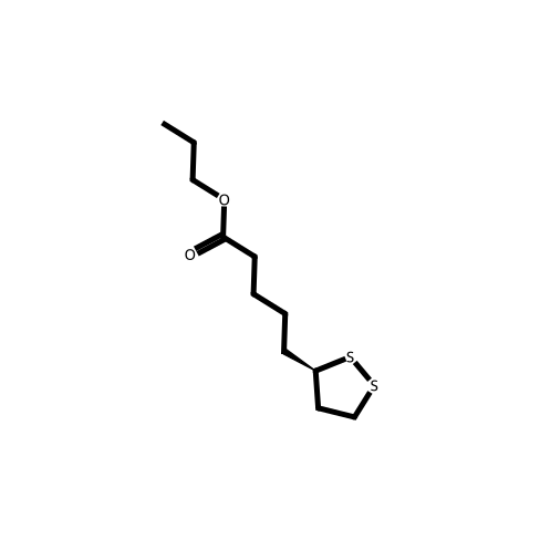 CCCOC(=O)CCCC[C@@H]1CCSS1